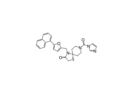 O=C1CSC2(CCN(C(=O)n3ccnc3)CC2)N1Cc1ccc(-c2cccc3ccccc23)o1